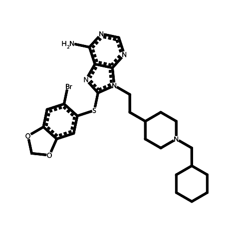 Nc1ncnc2c1nc(Sc1cc3c(cc1Br)OCO3)n2CCC1CCN(CC2CCCCC2)CC1